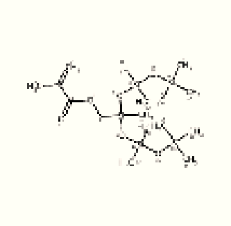 C=C(C)C(=O)OC[Si](C)(O[Si](C)(C)O[Si](C)(C)C)O[Si](C)(C)O[Si](C)(C)C